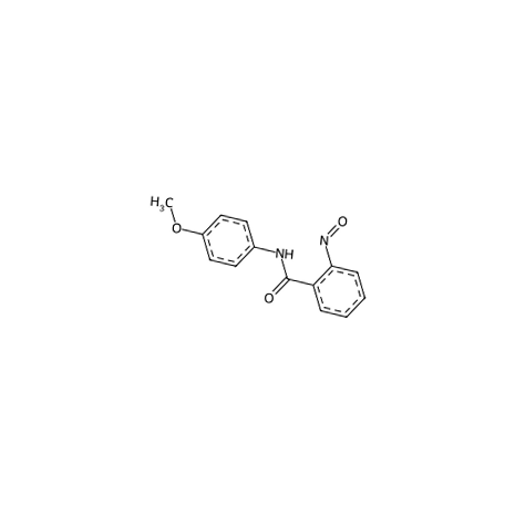 COc1ccc(NC(=O)c2ccccc2N=O)cc1